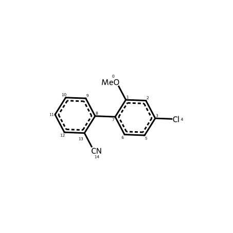 COc1cc(Cl)ccc1-c1ccccc1C#N